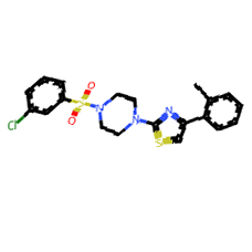 Cc1ccccc1-c1csc(N2CCN(S(=O)(=O)c3cccc(Cl)c3)CC2)n1